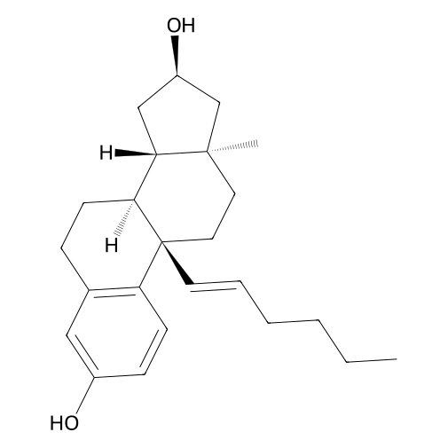 CCCC/C=C/[C@]12CC[C@]3(C)C[C@H](O)C[C@H]3[C@@H]1CCc1cc(O)ccc12